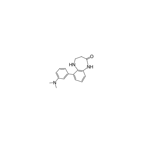 CN(C)c1cccc(-c2cccc3c2NCCC(=O)N3)c1